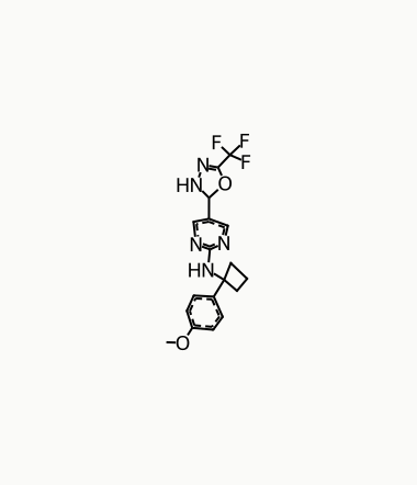 COc1ccc(C2(Nc3ncc(C4NN=C(C(F)(F)F)O4)cn3)CCC2)cc1